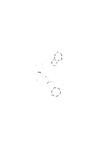 CC[C@H](C)[C@H](NC(=O)Nc1ccccc1C(F)(F)F)C(=O)N[C@H](CO)Cc1c[nH]c2ccccc12